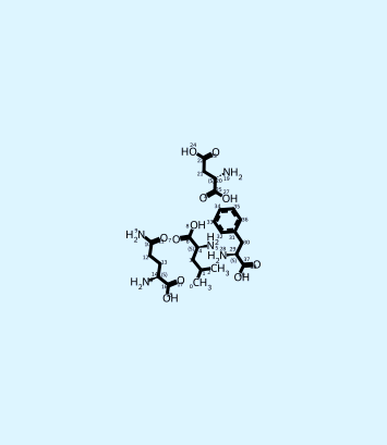 CC(C)C[C@H](N)C(=O)O.NC(=O)CC[C@H](N)C(=O)O.N[C@@H](CC(=O)O)C(=O)O.N[C@@H](Cc1ccccc1)C(=O)O